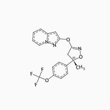 C[C@@]1(c2ccc(OC(F)(F)F)cc2)CC(Oc2cc3ccccn3n2)=NO1